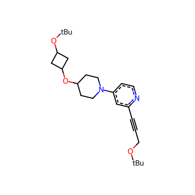 CC(C)(C)OCC#Cc1cc(N2CCC(OC3CC(OC(C)(C)C)C3)CC2)ccn1